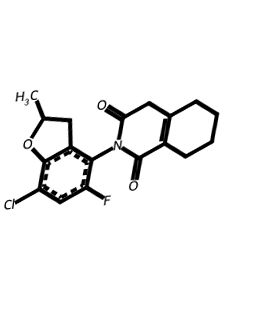 CC1Cc2c(c(Cl)cc(F)c2N2C(=O)CC3=C(CCCC3)C2=O)O1